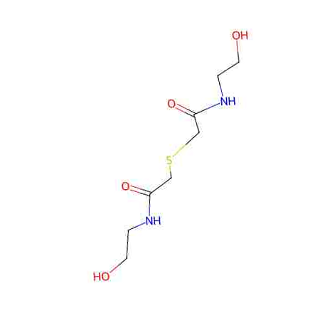 O=C(CSCC(=O)NCCO)NCCO